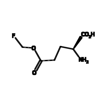 N[C@@H](CCC(=O)OCF)C(=O)O